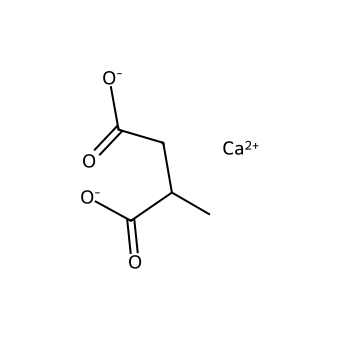 CC(CC(=O)[O-])C(=O)[O-].[Ca+2]